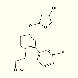 CC(=O)NCCc1ccc(OC2CC(O)CO2)cc1-c1cccc(F)c1